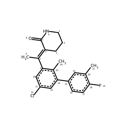 C/C(=C1/CCCNC1=O)c1cc(Cl)cc(-c2ccc(F)c(C)c2)c1C